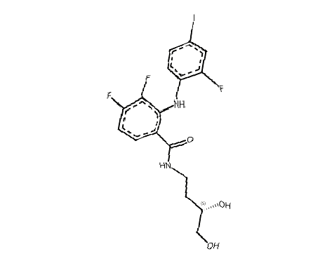 O=C(NCC[C@H](O)CO)c1ccc(F)c(F)c1Nc1ccc(I)cc1F